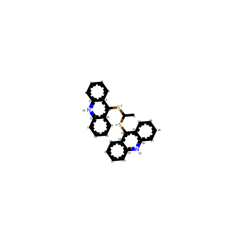 CC(Sc1c2ccccc2nc2ccccc12)Sc1c2ccccc2nc2ccccc12